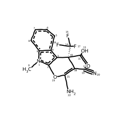 Cn1c2c(c3ccccc31)[C@](C(=O)O)(C(F)(F)F)C(C#N)=C(N)O2